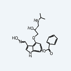 CC(C)NCC(O)COc1cccc2[nH]cc(C=NO)c12.O=C(O)c1ccccc1